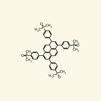 CP(C)(=O)c1ccc(C2=CC(c3ccc(P(C)(C)=O)cc3)C3C=Cc4c(-c5ccc(P(C)(C)=O)cc5)cc(-c5ccc(P(C)(C)=O)cc5)c5ccc2c3c45)cc1